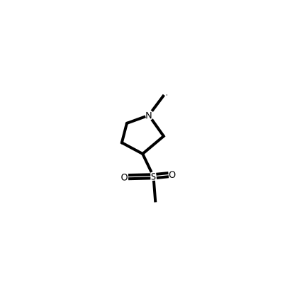 [CH2]N1CCC(S(C)(=O)=O)C1